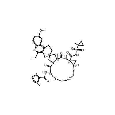 CCc1nc2ccc(OC)cc2c2c1O[C@]1(CC2)C[C@H]2C(=O)N[C@]3(C(=O)NS(=O)(=O)C4(C)CC4)C[C@H]3C=CCCCCC[C@H](NC(=O)c3sccc3C)C(=O)N2C1